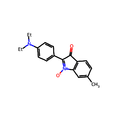 CCN(CC)c1ccc(C2=[N+]([O-])c3cc(C)ccc3C2=O)cc1